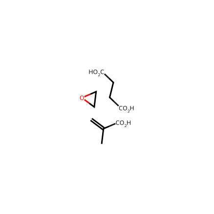 C1CO1.C=C(C)C(=O)O.O=C(O)CCC(=O)O